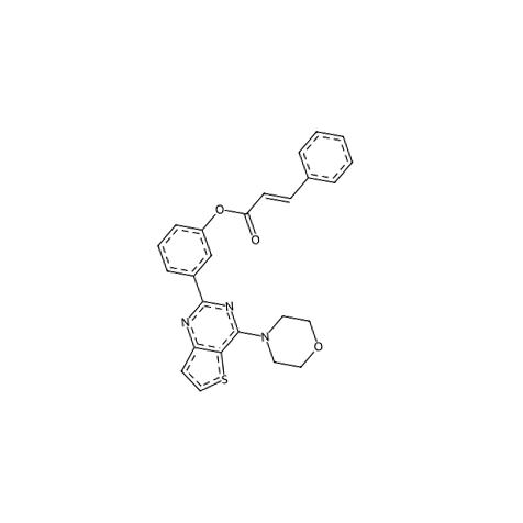 O=C(C=Cc1ccccc1)Oc1cccc(-c2nc(N3CCOCC3)c3sccc3n2)c1